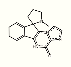 CN1CCCC12C1=CCCC=C1c1[nH]c(=O)c3nccn3c12